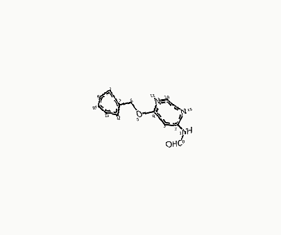 O=CNc1cc(OCc2ccccc2)ncn1